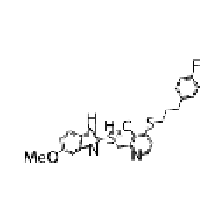 COc1ccc2[nH]c(SCc3nccc(SCCCc4ccc(F)cc4)c3C)nc2c1